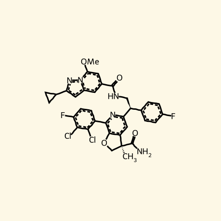 COc1cc(C(=O)NC[C@@H](c2ccc(F)cc2)c2cc3c(c(-c4ccc(F)c(Cl)c4Cl)n2)OC[C@]3(C)C(N)=O)cc2cc(C3CC3)nn12